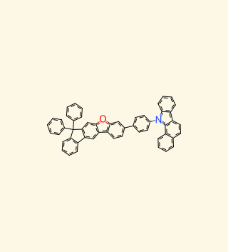 c1ccc(C2(c3ccccc3)c3ccccc3-c3cc4c(cc32)oc2cc(-c3ccc(-n5c6ccccc6c6ccc7ccccc7c65)cc3)ccc24)cc1